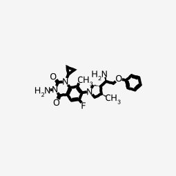 Cc1c(N2C[C@H]([C@@H](N)COc3ccccc3)[C@H](C)C2)c(F)cc2c(=O)n(N)c(=O)n(C3CC3)c12